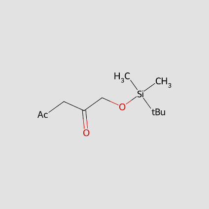 CC(=O)CC(=O)CO[Si](C)(C)C(C)(C)C